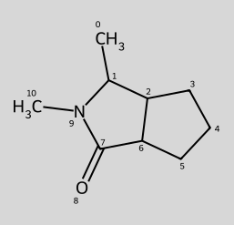 CC1C2CCCC2C(=O)N1C